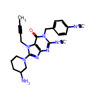 [C-]#[N+]c1ccc(Cn2c([N+]#[C-])nc3nc(N4CCCC(N)C4)n(CC#CC)c3c2=O)cc1